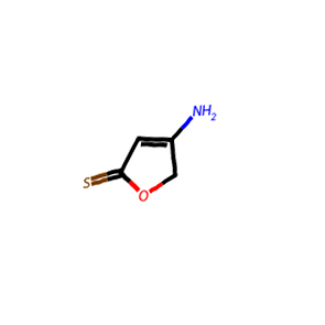 NC1=CC(=S)OC1